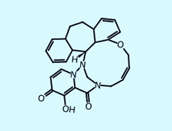 O=C1c2c(O)c(=O)ccn2N2CN1C/C=C\COC1=CC=CC3CCC4C=CC=CC4[C@@H]2C13